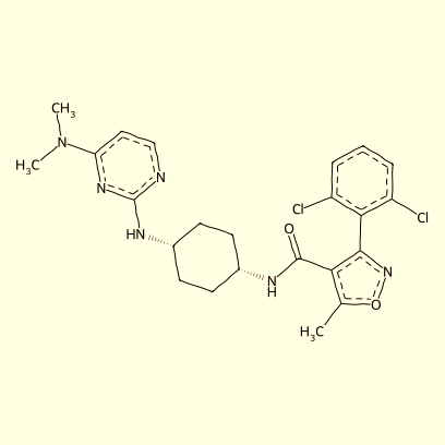 Cc1onc(-c2c(Cl)cccc2Cl)c1C(=O)N[C@H]1CC[C@@H](Nc2nccc(N(C)C)n2)CC1